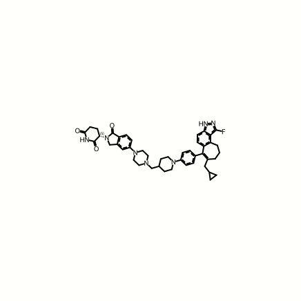 O=C1CC[C@H](N2Cc3cc(N4CCN(CC5CCN(c6ccc(C7=C(CC8CC8)CCCc8c7ccc7[nH]nc(F)c87)cc6)CC5)CC4)ccc3C2=O)C(=O)N1